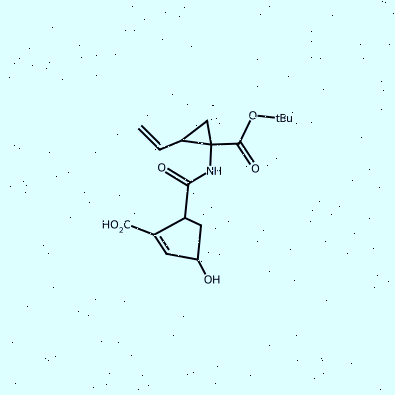 C=CC1CC1(NC(=O)C1CC(O)C=C1C(=O)O)C(=O)OC(C)(C)C